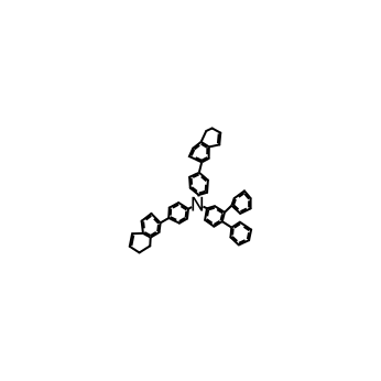 C1=Cc2cc(-c3ccc(N(c4ccc(-c5ccc6c(c5)CCC=C6)cc4)c4ccc(-c5ccccc5)c(-c5ccccc5)c4)cc3)ccc2CC1